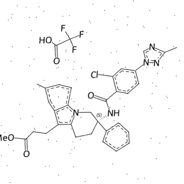 COC(=O)CCc1c2n(c3ccc(C)cc13)C[C@@](NC(=O)c1ccc(-n3cnc(C)n3)cc1Cl)(c1ccccc1)CC2.O=C(O)C(F)(F)F